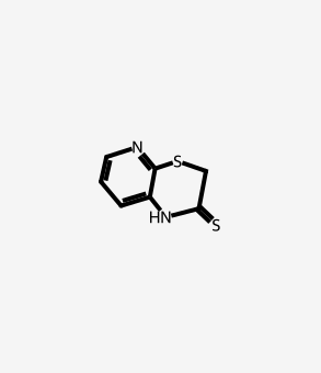 S=C1CSc2ncccc2N1